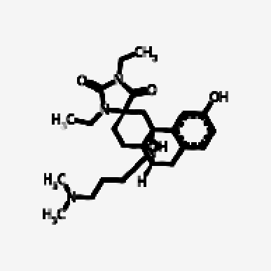 CCN1C(=O)N(CC)[C@]2(CC[C@@]3(O)[C@H]4Cc5ccc(O)cc5[C@@]3(CCN4CCCN(C)C)C2)C1=O